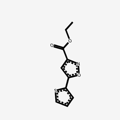 CCOC(=O)c1cc(-c2cccs2)on1